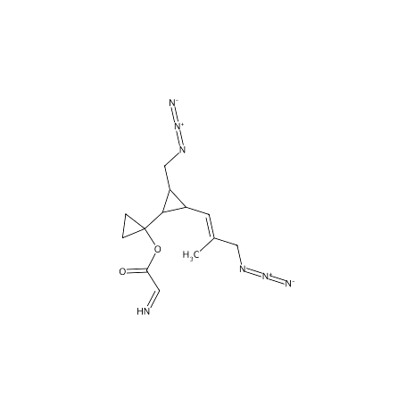 C/C(=C\C1C(CN=[N+]=[N-])C1C1(OC(=O)C=N)CC1)CN=[N+]=[N-]